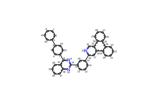 c1ccc(-c2ccc(-c3nc(-c4cccc(-c5cc6c7ccccc7c7ccccc7c6cn5)c4)nc4ccccc34)cc2)cc1